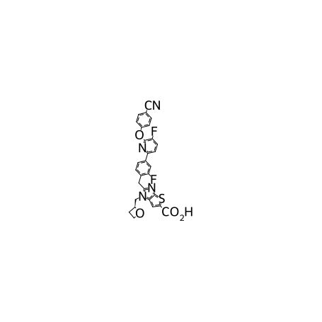 N#Cc1ccc(Oc2nc(-c3ccc(Cc4nc5sc(C(=O)O)cc5n4C[C@@H]4CCO4)c(F)c3)ccc2F)cc1